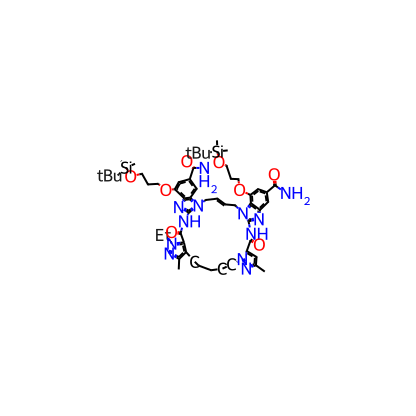 CCn1nc(C)c2c1C(=O)Nc1nc3c(OCCCO[Si](C)(C)C(C)(C)C)cc(C(N)=O)cc3n1C/C=C/Cn1c(nc3cc(C(N)=O)cc(OCCCO[Si](C)(C)C(C)(C)C)c31)NC(=O)c1cc(C)nn1CCCCC2